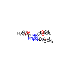 C=C1/C(=C/c2ccc(Nc3nc(Nc4ccc(C(=O)OC[Si](C)(C)C)cc4)nc(Nc4ccc(C(=O)OC[Si](C)(C)C)cc4)n3)cc2)C2CCC1(C)C2(C)C